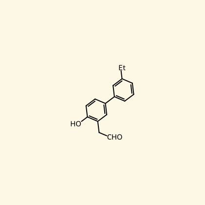 CCc1cccc(-c2ccc(O)c(CC=O)c2)c1